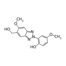 COc1ccc(O)c(-n2nc3cc(CO)c(OC)cc3n2)c1